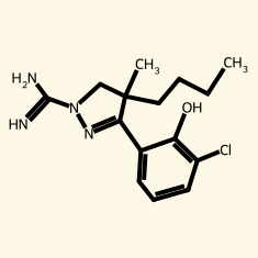 CCCCC1(C)CN(C(=N)N)N=C1c1cccc(Cl)c1O